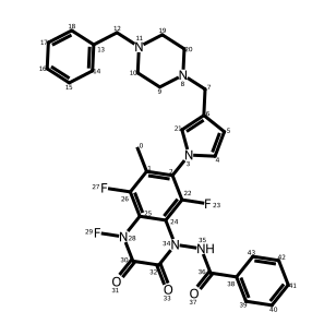 Cc1c(-n2ccc(CN3CCN(Cc4ccccc4)CC3)c2)c(F)c2c(c1F)n(F)c(=O)c(=O)n2NC(=O)c1ccccc1